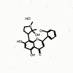 CN1CCC(c2c(O)cc(O)c3c(=O)cc(-c4ccccc4Cl)oc23)C1(C)O.Cl